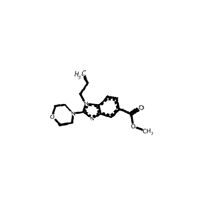 CCCn1c(N2CCOCC2)nc2cc(C(=O)OC)ccc21